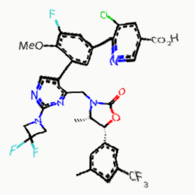 COc1c(F)cc(-c2ncc(C(=O)O)cc2Cl)cc1-c1cnc(N2CC(F)(F)C2)nc1CN1C(=O)O[C@H](c2cc(C)cc(C(F)(F)F)c2)[C@@H]1C